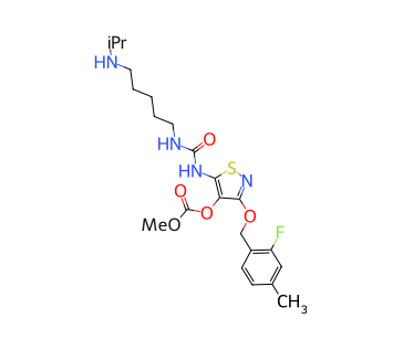 COC(=O)Oc1c(OCc2ccc(C)cc2F)nsc1NC(=O)NCCCCCNC(C)C